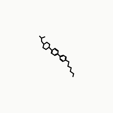 CCCCCCc1ccc(-c2ccc(C3CCC(CC(C)C)CC3)cc2)cc1